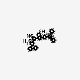 CC1C=Cc2c(-c3cc(C#N)cc(C4=Cc5c(c6ccccc6c6ccccc56)CC4C)c3)ccc(-c3ccc(-c4nc(-c5ccccc5)nc(-c5ccccc5)n4)cc3)c2C1